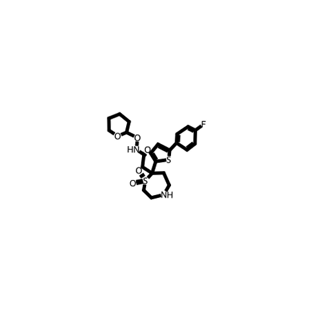 O=C(CC1(c2ccc(-c3ccc(F)cc3)s2)CCNCCS1(=O)=O)NOC1CCCCO1